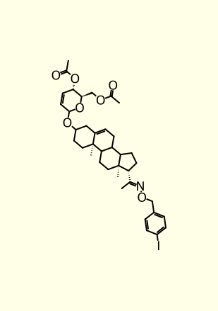 CC(=O)OC[C@H]1OC(OC2CC[C@@]3(C)C(=CCC4C3CC[C@@]3(C)C4CC[C@@H]3/C(C)=N/OCc3ccc(I)cc3)C2)C=C[C@@H]1OC(C)=O